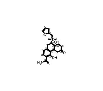 C[N+](C)(Cc1ccco1)[C@@H]1Cc2ccc(C(N)=O)c(O)c2C2CC(=O)CC[C@]21O